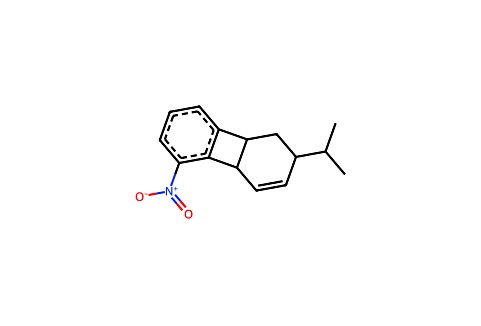 CC(C)C1C=CC2c3c(cccc3[N+](=O)[O-])C2C1